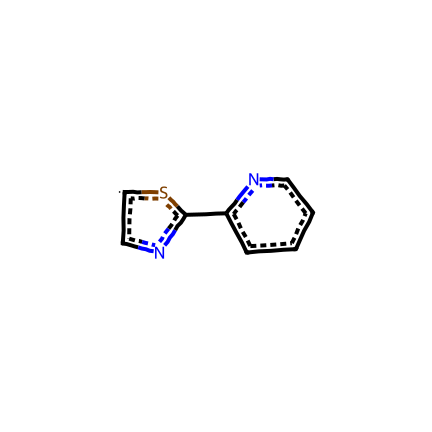 [c]1cnc(-c2ccccn2)s1